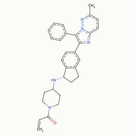 C=CC(=O)N1CCC(N[C@H]2CCc3cc(-c4nc5ccc(C)nn5c4-c4ccccc4)ccc32)CC1